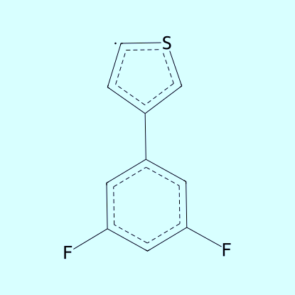 Fc1cc(F)cc(-c2c[c]sc2)c1